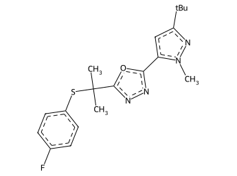 Cn1nc(C(C)(C)C)cc1-c1nnc(C(C)(C)Sc2ccc(F)cc2)o1